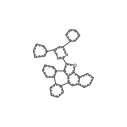 c1ccc(-c2cc(-c3ccccc3)nc(-c3oc4c5c(cc6ccccc64)-c4ccccc4-c4ccccc4-c35)n2)cc1